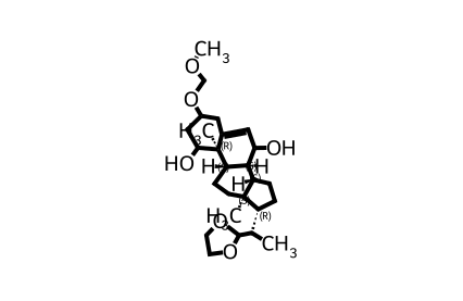 COCOC1CC2=CC(O)[C@H]3[C@@H]4CC[C@H](C(C)C5OCCO5)[C@@]4(C)CC[C@@H]3[C@@]2(C)C(O)C1